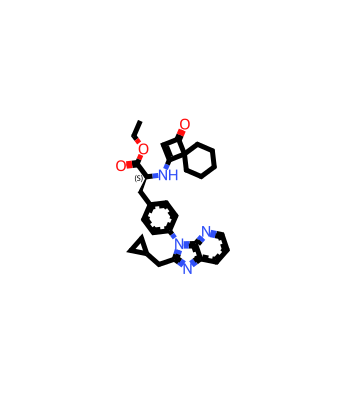 CCOC(=O)[C@H](Cc1ccc(-n2c(CC3CC3)nc3cccnc32)cc1)NC1=CC(=O)C12CCCCC2